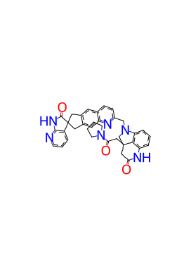 O=C1CC2(CC(=O)N3CCCC3)CN(Cc3ccc4cc5c(cc4n3)CC3(C5)C(=O)Nc4ncccc43)c3cccc(c32)N1